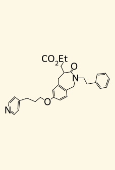 CCOC(=O)CC1Cc2cc(OCCCc3ccncc3)ccc2CN(CCc2ccccc2)C1=O